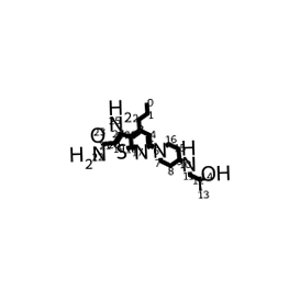 CCCc1cc(N2CCC(NC[C@H](C)O)CC2)nc2sc(C(N)=O)c(N)c12